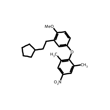 COc1ccc(Oc2c(C)cc([N+](=O)[O-])cc2C)cc1CCC1CCCC1